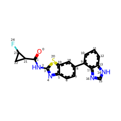 O=C(Nc1nc2ccc(-c3cccc4[nH]cnc34)cc2s1)C1CC1F